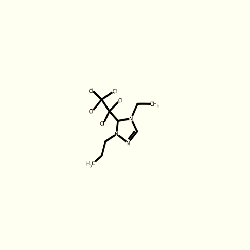 CCCN1N=CN(CC)C1C(Cl)(Cl)C(Cl)(Cl)Cl